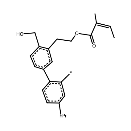 C/C=C(/C)C(=O)OCCc1cc(-c2ccc(CCC)cc2F)ccc1CO